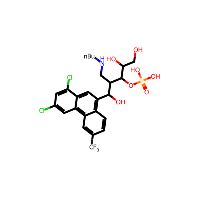 CCCCNCC(C(O)c1cc2c(Cl)cc(Cl)cc2c2cc(C(F)(F)F)ccc12)C(OP(=O)(O)O)C(O)CO